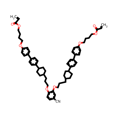 C=CC(=O)OCCCCOc1ccc(-c2ccc(C3CCC(CCCOc4ccc(C#N)cc4OCCCC4CCC(c5ccc(-c6ccc(OCCCCOC(=O)C=C)cc6)cc5)CC4)CC3)cc2)cc1